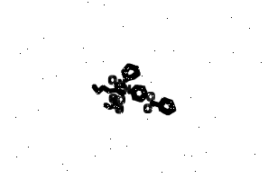 CCCCc1c(OS(=O)(=O)CC)n(-c2ccc(OC(=O)c3ccccc3)cc2)n(-c2ccccc2)c1=O